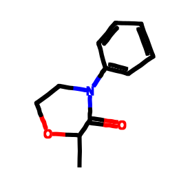 CC1OCCN(c2ccccc2)C1=O